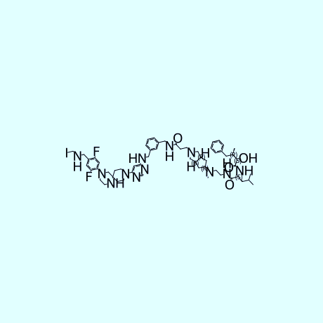 CC(C)C[C@H](NC(=O)[C@@H](O)[C@H](C)Cc1ccccc1)C(=O)NCCN(C)[C@@H]1C[C@@H]2CN(CCC(=O)NCc3cccc(CNc4cc(N5CCC6(CC5)CN(c5cc(F)c(CNCI)cc5F)CCN6)ncn4)c3)C[C@@H]2C1